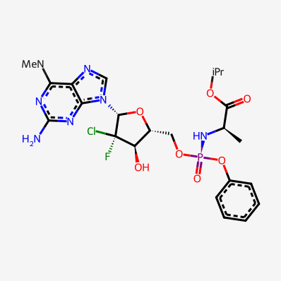 CNc1nc(N)nc2c1ncn2[C@@H]1O[C@H](CO[P@](=O)(N[C@H](C)C(=O)OC(C)C)Oc2ccccc2)[C@@H](O)[C@@]1(F)Cl